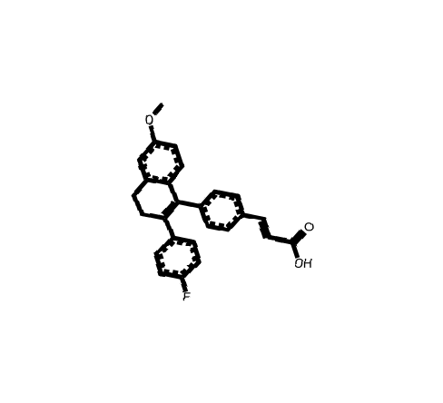 COc1ccc2c(c1)CCC(c1ccc(F)cc1)=C2c1ccc(C=CC(=O)O)cc1